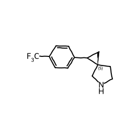 FC(F)(F)c1ccc(C2C[C@]23CCNC3)cc1